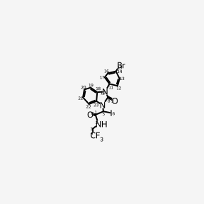 O=C(NCC(F)(F)F)C(I)n1c(=O)n(-c2ccc(Br)cc2)c2ccccc21